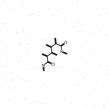 C=NC(=O)C(=C)C(=C)C(=C)C(=C)C(=O)N=C